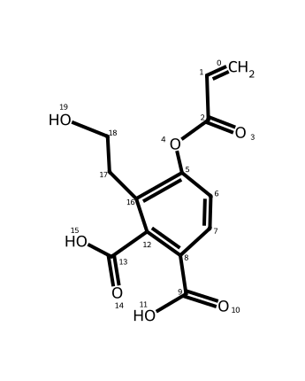 C=CC(=O)Oc1ccc(C(=O)O)c(C(=O)O)c1CCO